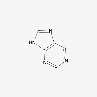 [c]1ncnc2[nH]cnc12